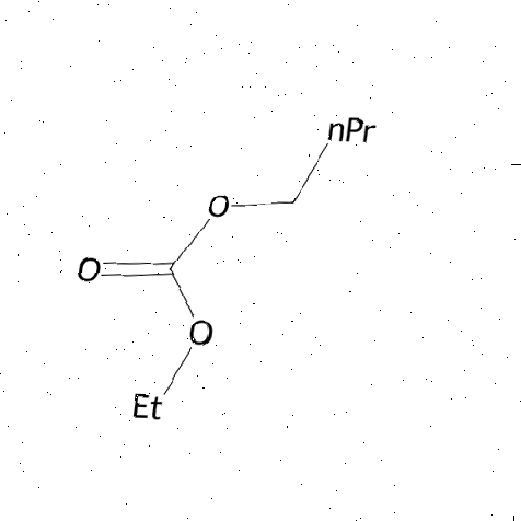 CCCCOC(=O)OCC